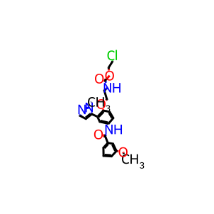 COc1cccc(C(=O)Nc2ccc(OCCNC(=O)OCCCl)c(-c3ccnn3C)c2)c1